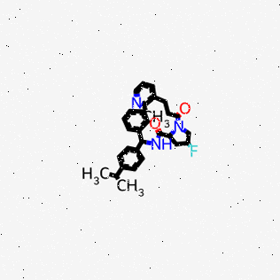 Cc1ncccc1CCC(=O)N1CC(F)CC1C(=O)NC(c1ccccc1)c1ccc(C(C)C)cc1